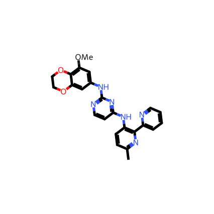 COc1cc(Nc2nccc(Nc3ccc(C)nc3-c3ccccn3)n2)cc2c1OCCO2